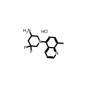 Cc1ccc(N2CC(N)CC(F)(F)C2)c2cccnc12.Cl